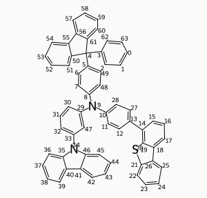 c1ccc(C2(c3ccc(N(c4ccc(-c5cccc6c5sc5ccccc56)cc4)c4cccc(-n5c6ccccc6c6ccccc65)c4)cc3)c3ccccc3-c3ccccc32)cc1